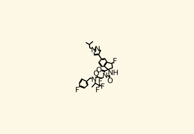 CC(C)Cn1cc(-c2ccc3c(c2)C(F)CC32NC(=O)N(CC(=O)N(Cc3ccc(F)cc3)C(C)C(F)(F)F)C2=O)cn1